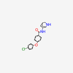 O=C(NC1CC2CNC1C2)c1ccc(Oc2ccc(Cl)cc2)cc1